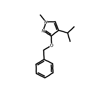 CC(C)c1cn(C)nc1OCc1ccccc1